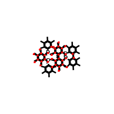 Cc1c(C)c(C)c(P(Cc2c(C)c(C)c(C)c(CP(c3c(C)c(C)c(C)c(C)c3C)c3c(C)c(C)c(C)c(C)c3C)c2-c2c(CP(c3c(C)c(C)c(C)c(C)c3C)c3c(C)c(C)c(C)c(C)c3C)c(C)c(C)c(C)c2CP(c2c(C)c(C)c(C)c(C)c2C)c2c(C)c(C)c(C)c(C)c2C)c2c(C)c(C)c(C)c(C)c2C)c(C)c1C